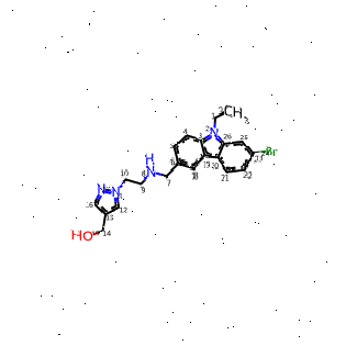 CCn1c2ccc(CNCCn3cc(CO)cn3)cc2c2ccc(Br)cc21